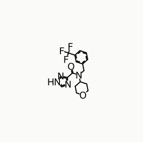 O=C(c1nc[nH]n1)N(Cc1cccc(C(F)(F)F)c1)C1CCOCC1